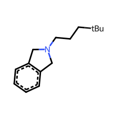 CC(C)(C)CCCN1Cc2ccccc2C1